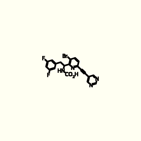 O=C(O)NC(Cc1cc(F)cc(F)c1)c1nc(C#Cc2cncnc2)ccc1Br